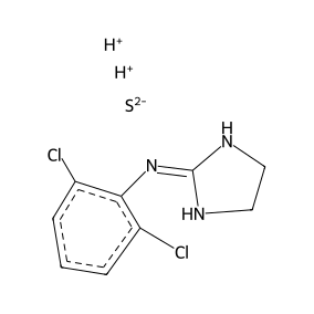 Clc1cccc(Cl)c1N=C1NCCN1.[H+].[H+].[S-2]